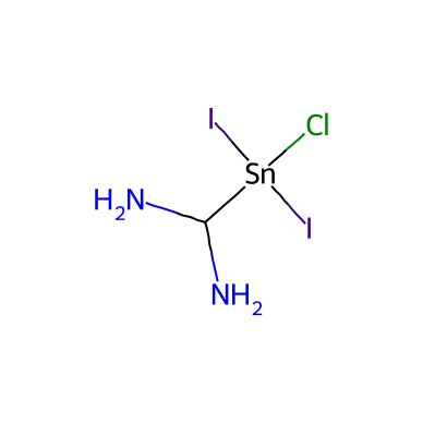 N[CH](N)[Sn]([Cl])([I])[I]